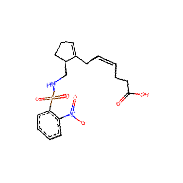 O=C(O)CC/C=C\CC1=CCC[C@@H]1CNS(=O)(=O)c1ccccc1[N+](=O)[O-]